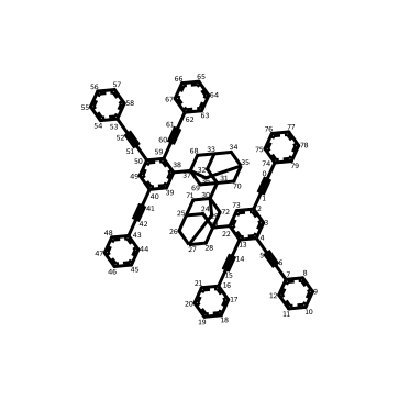 C(#Cc1cc(C#Cc2ccccc2)c(C#Cc2ccccc2)c(C23CC4CC(C2)CC(C25CC6CC(CC(c7cc(C#Cc8ccccc8)cc(C#Cc8ccccc8)c7C#Cc7ccccc7)(C6)C2)C5)(C4)C3)c1)c1ccccc1